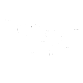 CCOC(=O)c1cc(OC)c(O)c([N+](=O)[O-])c1C(=O)c1ccc(C)cc1